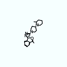 CC(=O)c1ccccc1-c1nnc(N2CCC(N3CCCCC3C)CC2)s1